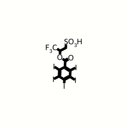 O=C(OC(CS(=O)(=O)O)C(F)(F)F)c1c(I)c(I)c(I)c(I)c1I